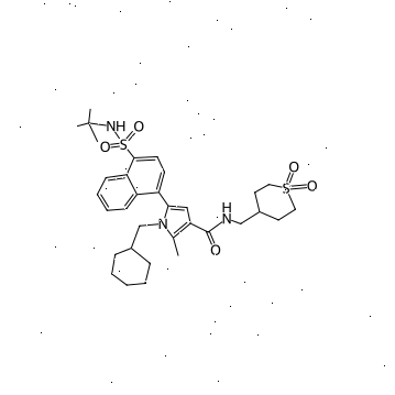 Cc1c(C(=O)NCC2CCS(=O)(=O)CC2)cc(-c2ccc(S(=O)(=O)NC(C)(C)C)c3ccccc23)n1CC1CCCCC1